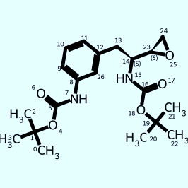 CC(C)(C)OC(=O)Nc1cccc(C[C@H](NC(=O)OC(C)(C)C)[C@H]2CO2)c1